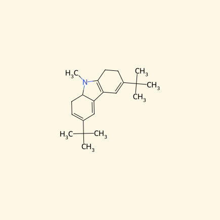 CN1C2=C(C=C(C(C)(C)C)CC2)C2=CC(C(C)(C)C)=CCC21